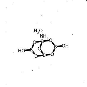 N.O.OB1OB2OB(O)OB(O1)O2